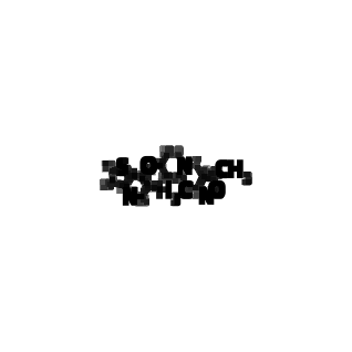 Cc1noc(C)c1CN1CCC(Oc2ccnc3ccsc23)CC1